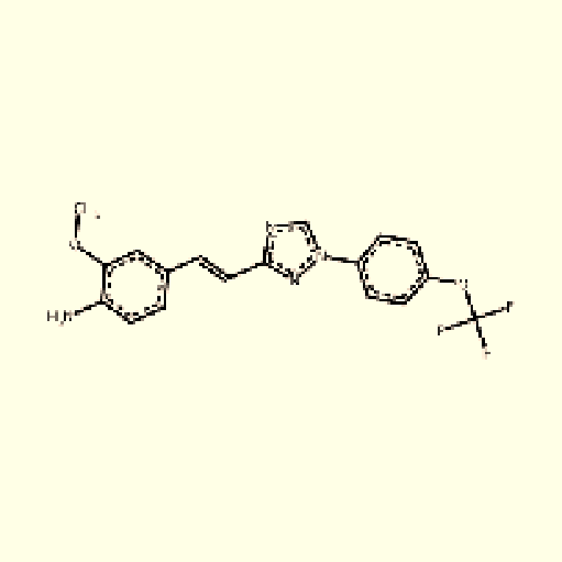 COc1cc(C=Cc2ncn(-c3ccc(OC(F)(F)F)cc3)n2)ccc1N